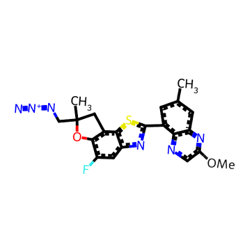 COc1cnc2c(-c3nc4cc(F)c5c(c4s3)CC(C)(CN=[N+]=[N-])O5)cc(C)cc2n1